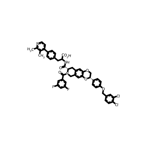 Cc1nccc(-c2ccc(CC(NC(=O)[C@@H]3Cc4cc5c(cc4CN3C(=O)c3cc(F)cc(F)c3)O[C@@H](c3ccc(OCc4ccc(Cl)c(Cl)c4)cc3)CO5)C(=O)O)cc2)c1C